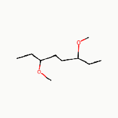 C[CH]C(CCC(CC)OC)OC